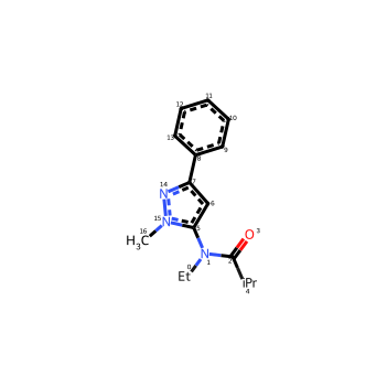 CCN(C(=O)C(C)C)c1cc(-c2ccccc2)nn1C